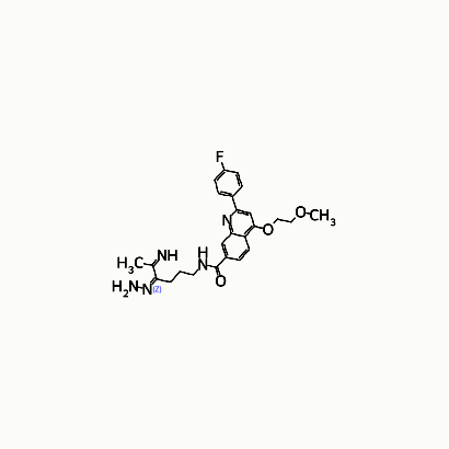 COCCOc1cc(-c2ccc(F)cc2)nc2cc(C(=O)NCCC/C(=N/N)C(C)=N)ccc12